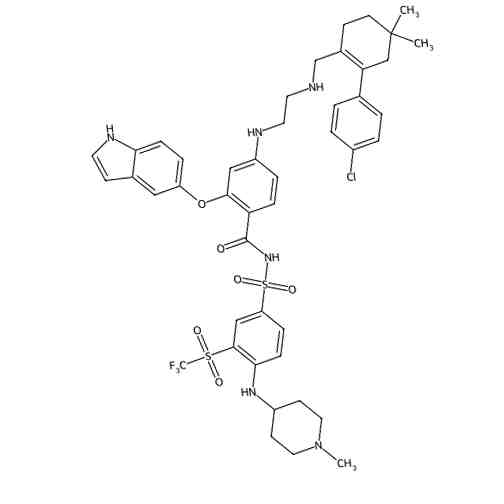 CN1CCC(Nc2ccc(S(=O)(=O)NC(=O)c3ccc(NCCNCC4=C(c5ccc(Cl)cc5)CC(C)(C)CC4)cc3Oc3ccc4[nH]ccc4c3)cc2S(=O)(=O)C(F)(F)F)CC1